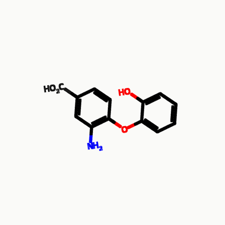 Nc1cc(C(=O)O)ccc1Oc1ccccc1O